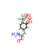 N[C@H](C=O)Cc1ccc(C(F)(F)P(=O)(O)O)cc1